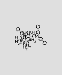 Bc1c(B)c(B)c2c(c1B)c1c(B)c(-c3ccc4c(c3)c3cc(-c5ccccc5)ccc3n4-c3ccc(-c4ccccc4)cc3)c(B)c(B)c1n2-c1ccc(-c2ccccc2)cc1